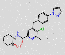 Cc1nc(C(=O)N[C@H]2CCCC[C@@H]2O)cc(Cc2ccc(-n3cccn3)cc2)c1Cl